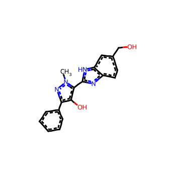 Cn1nc(-c2ccccc2)c(O)c1-c1nc2ccc(CO)cc2[nH]1